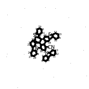 N#Cc1c(-n2c3ccccc3c3ccccc32)cc(-n2c3ccccc3c3ccccc32)c(-c2ccc3sc4ccccc4c3c2)c1-c1ccc2sc3ccccc3c2c1